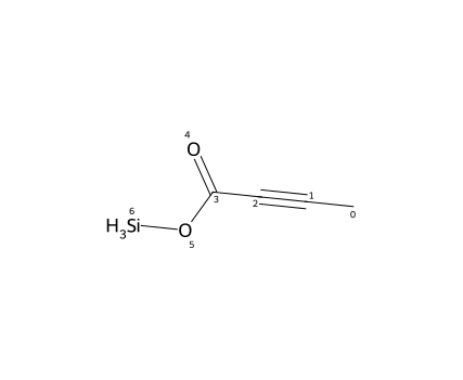 CC#CC(=O)O[SiH3]